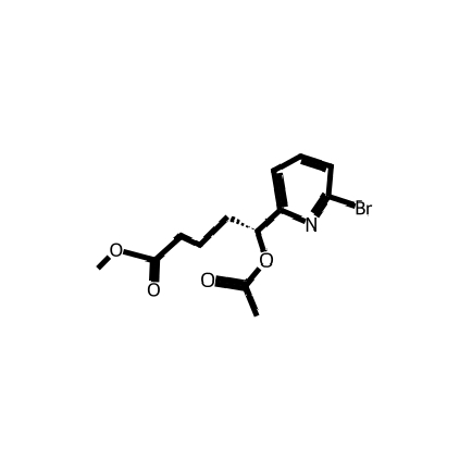 COC(=O)CCC[C@@H](OC(C)=O)c1cccc(Br)n1